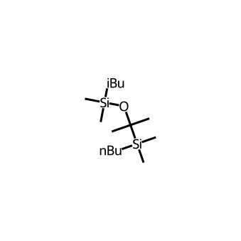 CCCC[Si](C)(C)C(C)(C)O[Si](C)(C)C(C)CC